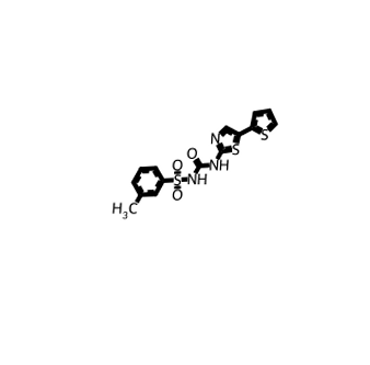 Cc1cccc(S(=O)(=O)NC(=O)Nc2ncc(-c3cccs3)s2)c1